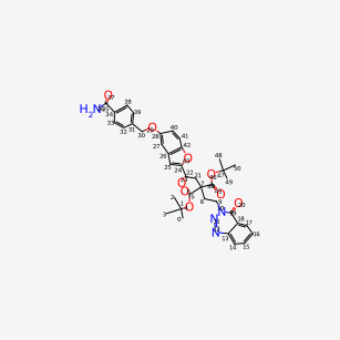 CC(C)(C)OC(=O)C(CCn1nnc2ccccc2c1=O)(CC(=O)c1cc2cc(OCc3ccc(C(N)=O)cc3)ccc2o1)C(=O)OC(C)(C)C